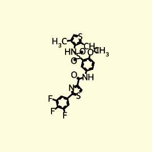 COc1ccc(NC(=O)c2csc(-c3cc(F)c(F)c(F)c3)n2)cc1S(=O)(=O)Nc1c(C)csc1C